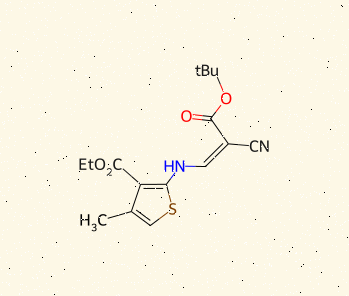 CCOC(=O)c1c(C)csc1N/C=C(/C#N)C(=O)OC(C)(C)C